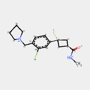 CNC(=O)[C@H]1C[C@@](F)(c2ccc(CN3CCCC3)c(F)c2)C1